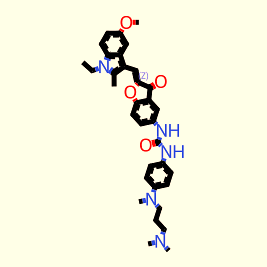 CCn1c(C)c(/C=C2\Oc3ccc(NC(=O)Nc4ccc(N(C)CCCN(C)C)cc4)cc3C2=O)c2cc(OC)ccc21